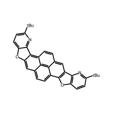 CC(C)(C)c1ccc2oc3c(cc4ccc5c6c(cc7ccc3c4c75)oc3ccc(C(C)(C)C)nc36)c2n1